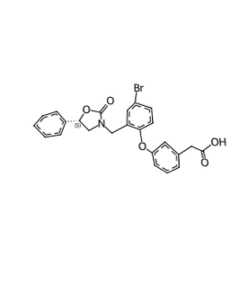 O=C(O)Cc1cccc(Oc2ccc(Br)cc2CN2C[C@H](c3ccccc3)OC2=O)c1